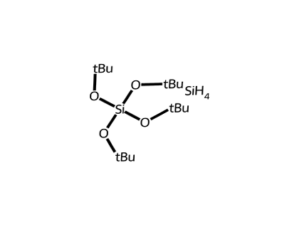 CC(C)(C)O[Si](OC(C)(C)C)(OC(C)(C)C)OC(C)(C)C.[SiH4]